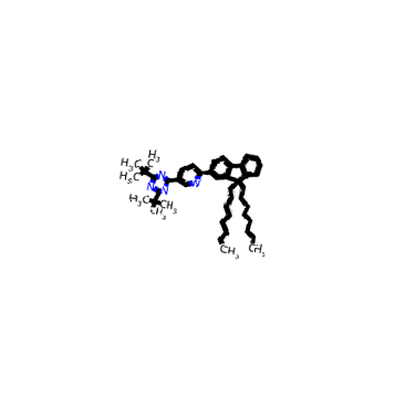 CCCCCCCCC1(CCCCCCCC)c2ccccc2-c2ccc(-c3ccc(-c4nc(C(C)(C)C)nc(C(C)(C)C)n4)cn3)cc21